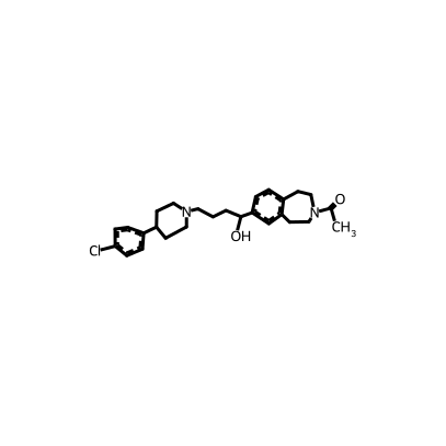 CC(=O)N1CCc2ccc(C(O)CCCN3CCC(c4ccc(Cl)cc4)CC3)cc2CC1